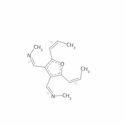 C/C=C\c1oc(/C=C\C)c(/C=N\C)c1/C=N\C